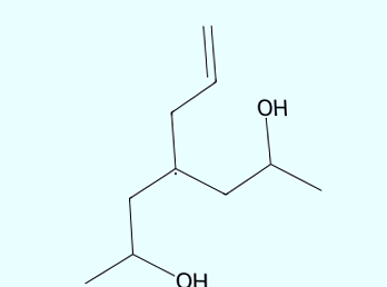 C=CC[C](CC(C)O)CC(C)O